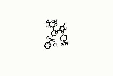 Cc1cc(N2C[C@H](S(=O)(=O)c3ccccc3Cl)C[C@H]2C(=O)NC2(C#N)CC2)n(C2CCS(=O)(=O)CC2)n1